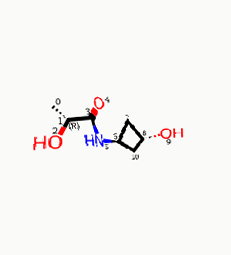 C[C@@H](O)C(=O)N[C@H]1C[C@H](O)C1